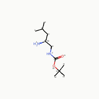 CC(C)C[C@H](N)CNC(=O)OC(C)(C)C